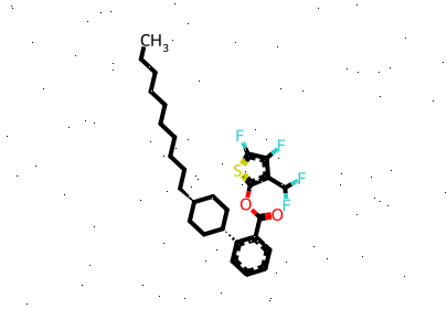 CCCCCCCCCC[C@H]1CC[C@H](c2ccccc2C(=O)Oc2sc(F)c(F)c2C(F)F)CC1